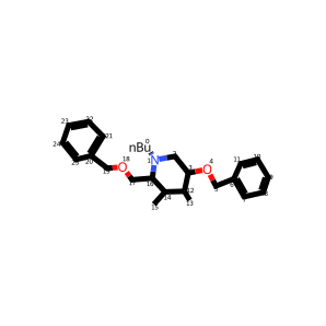 CCCCN1CC(OCc2ccccc2)C(C)C(C)C1COCc1ccccc1